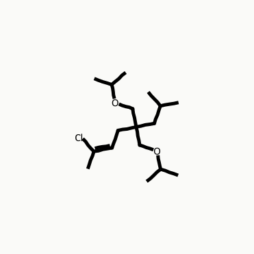 CC(Cl)=CCC(COC(C)C)(COC(C)C)CC(C)C